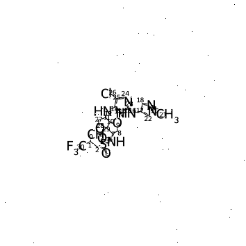 CC(CS(=O)(=O)NC1COC2C(Nc3nc(Nc4cnn(C)c4)ncc3Cl)COC12)C(F)(F)F